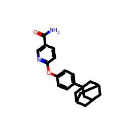 NC(=O)c1ccc(Oc2ccc(C34CC5CC(CC(C5)C3)C4)cc2)nc1